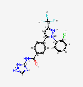 O=C(Nc1nc[nH]n1)c1ccc(-c2cc(C(F)(F)F)nn2-c2ccccc2Cl)cc1